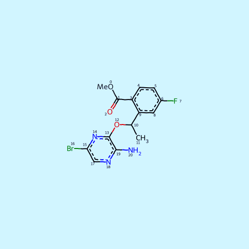 COC(=O)c1ccc(F)cc1C(C)Oc1nc(Br)cnc1N